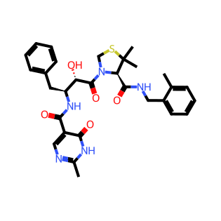 Cc1ncc(C(=O)N[C@@H](Cc2ccccc2)[C@H](O)C(=O)N2CSC(C)(C)[C@H]2C(=O)NCc2ccccc2C)c(=O)[nH]1